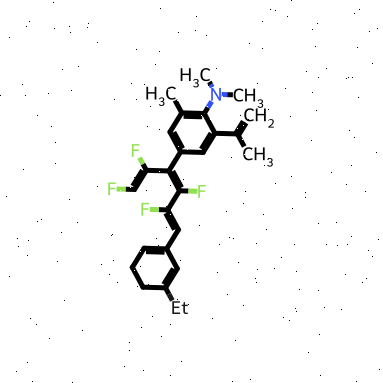 C=C(C)c1cc(C(/C(F)=C/F)=C(F)/C(F)=C/C2=CCCC(CC)=C2)cc(C)c1N(C)C